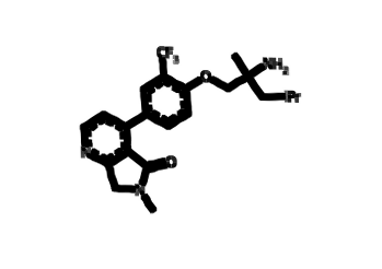 CC(C)CC(C)(N)COc1ccc(-c2ccnc3c2C(=O)N(C)C3)cc1C(F)(F)F